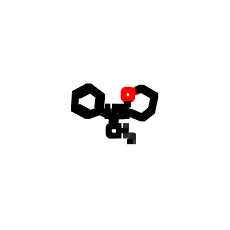 C=C(c1ccccc1)[SiH]1CCCCO1